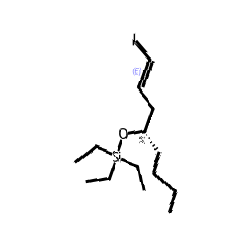 CCCC[C@@H](C/C=C/I)O[Si](CC)(CC)CC